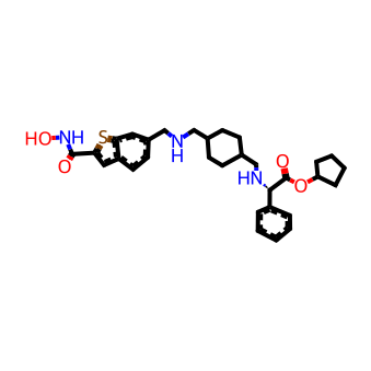 O=C(NO)c1cc2ccc(CNCC3CCC(CN[C@H](C(=O)OC4CCCC4)c4ccccc4)CC3)cc2s1